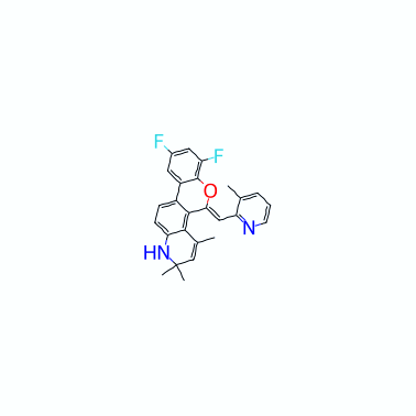 CC1=CC(C)(C)Nc2ccc3c(c21)/C(=C/c1ncccc1C)Oc1c(F)cc(F)cc1-3